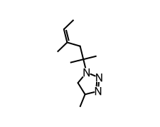 C/C=C(/C)CC(C)(C)N1CC(C)N=N1